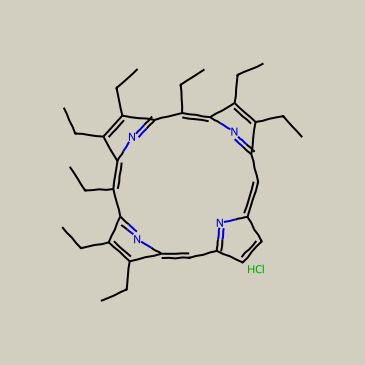 CCC1=C(CC)C2=NC1=CC1=NC(=CC3=NC(=C(CC)C4=NC(=C2CC)C(CC)=C4CC)C(CC)=C3CC)C=C1.Cl